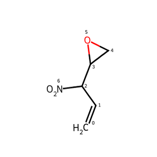 C=CC(C1CO1)[N+](=O)[O-]